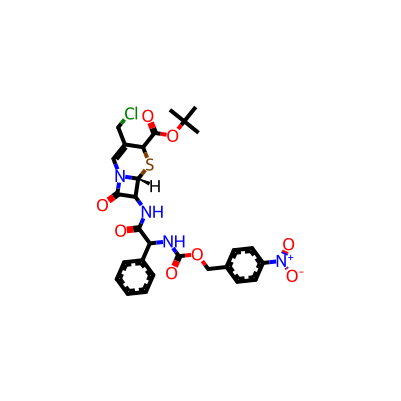 CC(C)(C)OC(=O)C1S[C@@H]2C(NC(=O)C(NC(=O)OCc3ccc([N+](=O)[O-])cc3)c3ccccc3)C(=O)N2C=C1CCl